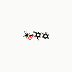 Cc1cc(Sc2ccccc2)cc(C)c1OCC(=O)OC(C)(C)C